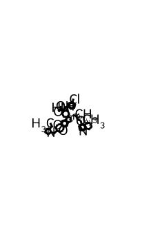 CCC1CCCN1CC1COc2cc3c(cc2OC1)C1(CCC(Nc2cccc(Cl)c2)(C(=O)O)CC1)[C@@H](C[C@@H](C)COc1ccnc2c1[C@H](C)CCC2)C3